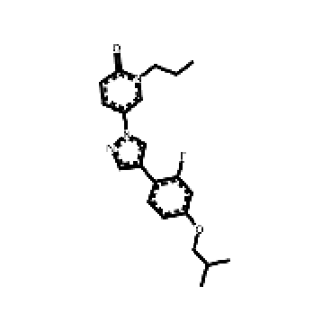 CCCn1cc(-n2cc(-c3ccc(OCC(C)C)cc3F)cn2)ccc1=O